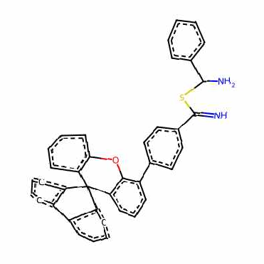 N=C(SC(N)c1ccccc1)c1ccc(-c2cccc3c2Oc2ccccc2C32c3ccccc3-c3ccccc32)cc1